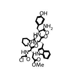 COC(=O)CC[C@H](NC(=O)CCl)C(=O)N1CCCC[C@H]1C(=O)N[C@@H](Cc1c[nH]c2ccccc12)C(=O)N[C@@H](Cc1ccc(O)cc1)C(N)=O